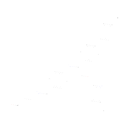 O=C(O)CCNC(=O)c1ccc(NC(COc2ccc(C(F)(F)F)cn2)c2ccc(-c3ccc(C(F)(F)F)cc3)cc2)cc1